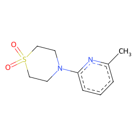 Cc1cccc(N2CCS(=O)(=O)CC2)n1